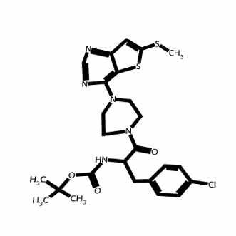 CSc1cc2ncnc(N3CCN(C(=O)C(Cc4ccc(Cl)cc4)NC(=O)OC(C)(C)C)CC3)c2s1